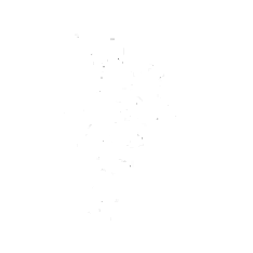 COC(=O)[C@]12C[C@H]1[C@@](C)(c1cc(NC(=O)C(F)(F)F)cc(F)c1F)N=C(NC(=O)OC(C)(C)C)S2